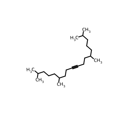 CC(C)CCCC(C)CCC#CCCC(C)CCCC(C)C